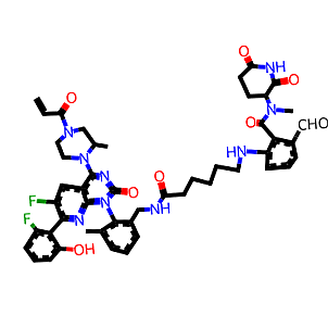 C=CC(=O)N1CCN(c2nc(=O)n(-c3c(C)cccc3CNC(=O)CCCCCNc3cccc(C=O)c3C(=O)N(C)C3CCC(=O)NC3=O)c3nc(-c4c(O)cccc4F)c(F)cc23)C(C)C1